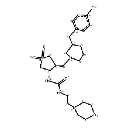 O=C(NCCN1CCOCC1)N[C@@H]1CS(=O)(=O)C[C@H]1CN1CCCC(Cc2ccc(F)cc2)C1